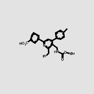 Cc1ccc(-c2cc(-c3cccc(C(=O)O)c3)nc(CC(C)C)c2CNC(=O)OC(C)(C)C)cc1